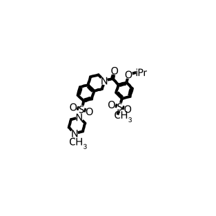 CC(C)Oc1ccc(S(C)(=O)=O)cc1C(=O)N1CCc2ccc(S(=O)(=O)N3CCN(C)CC3)cc2C1